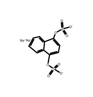 O=S(=O)([O-])Oc1ccc(OS(=O)(=O)[O-])c2ccccc12.[Na+].[Na+]